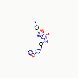 COc1nc(Nc2cccc(CN3CCN(C(=O)c4nccnc4O)CC3)c2)nc(N[C@@H](Cc2ccc(C#N)cc2)C(=O)O)n1